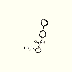 O=C(O)C1CCCN1C(=O)Nc1ccc(-c2ccccc2)cc1